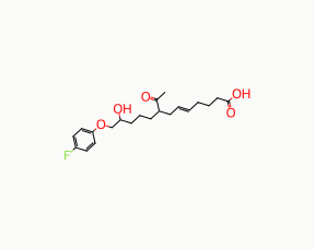 CC(=O)C(CC=CCCCC(=O)O)CCCC(O)COc1ccc(F)cc1